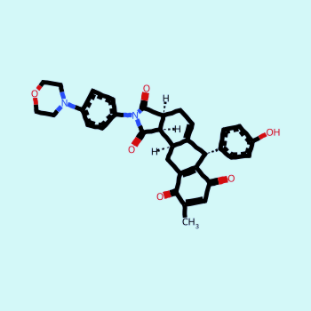 CC1=CC(=O)C2=C(C[C@@H]3C(=CC[C@@H]4C(=O)N(c5ccc(N6CCOCC6)cc5)C(=O)[C@@H]43)[C@@H]2c2ccc(O)cc2)C1=O